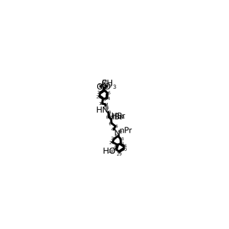 Br.Br.CCCN(CCCCCCNCCc1ccc(S(C)(=O)=O)cc1)[C@H]1CCc2c(O)cccc2C1